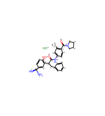 Cl.N=C(N)c1ccc(O)c(C(Cc2ccccc2)C(=O)Nc2ccc(C(=O)N3CCCC3)c(C(F)(F)F)c2)c1